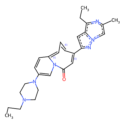 CCCN1CCN(C2=CN3C(=O)\C=C(c4cc5c(CC)nc(C)cn5n4)/C=C/C=C/3C=C2)CC1